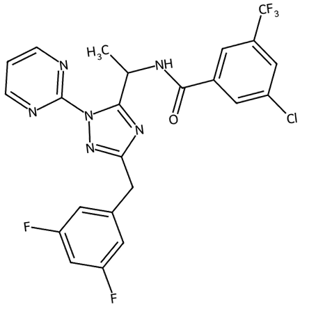 CC(NC(=O)c1cc(Cl)cc(C(F)(F)F)c1)c1nc(Cc2cc(F)cc(F)c2)nn1-c1ncccn1